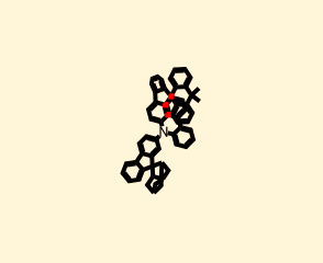 CC1(C)c2ccccc2C2(c3ccccc3-c3ccc(N(c4ccc5c(c4)C4(c6ccccc6-5)C5CC6CC(C5)C4C6)c4ccccc4-c4ccccc4)cc32)c2ccccc21